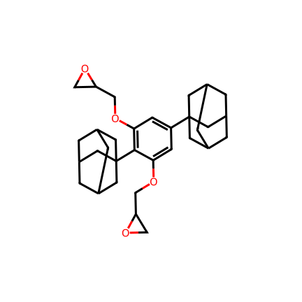 c1c(C23CC4CC(CC(C4)C2)C3)cc(OCC2CO2)c(C23CC4CC(CC(C4)C2)C3)c1OCC1CO1